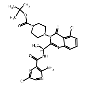 C[C@H](NC(=O)c1nc(Cl)cnc1N)c1nc2cccc(Cl)c2c(=O)n1N1CCN(C(=O)OC(C)(C)C)CC1